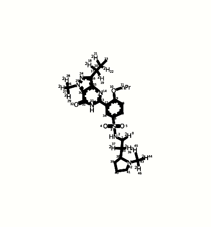 [2H]C(NS(=O)(=O)c1ccc(OCCC)c(-c2nc3c(C([2H])([2H])C([2H])([2H])C)nn(C([2H])([2H])[2H])c3c(=O)[nH]2)c1)C([2H])([2H])C1CCCN1C([2H])([2H])[2H]